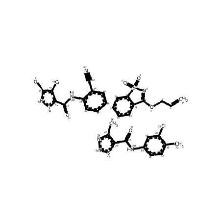 C=CCOC1=NS(=O)(=O)c2ccccc21.Cc1ccc(NC(=O)c2snnc2C)cc1Cl.N#Cc1ccccc1NC(=O)c1snc(Cl)c1Cl